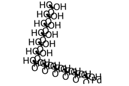 O=C(O)O.O=C(O)O.O=C(O)O.O=C(O)O.O=C(O)O.O=C(O)O.O=C(O)O.O=C(O)O.O=C(O)O.O=C(O)O.O=C(O)O.O=C(O)O.[Pd]